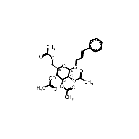 CC(=O)OC[C@H]1O[C@@H](SCC=Cc2ccccc2)[C@@H](OC(C)=O)[C@@H](OC(C)=O)[C@@H]1OC(C)=O